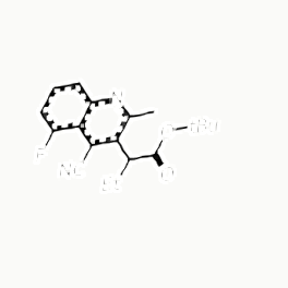 CCC(C(=O)OC(C)(C)C)c1c(C)nc2cccc(F)c2c1C#N